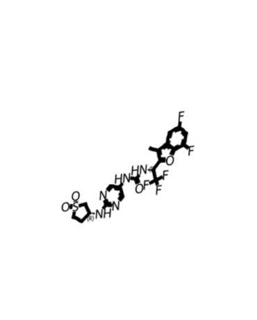 Cc1c([C@@H](NC(=O)Nc2cnc(N[C@@H]3CCS(=O)(=O)C3)nc2)C(F)(F)F)oc2c(F)cc(F)cc12